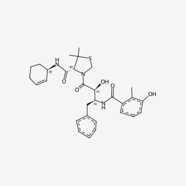 Cc1c(O)cccc1C(=O)N[C@@H](Cc1ccccc1)[C@H](O)C(=O)N1CSC(C)(C)[C@H]1C(=O)N[C@H]1C=CCCC1